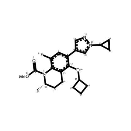 COC(=O)N1c2c(F)cc(-c3cnn(C4CC4)c3)c(OC3CCC3)c2CC[C@@H]1C